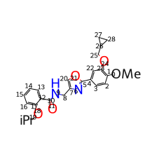 COc1ccc(-c2nc(CNC(=O)c3ccccc3OC(C)C)co2)cc1OCC1CC1